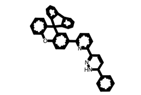 C1=CC(c2ccccc2)NN=C1c1cccc(-c2ccc3c(c2)C2(c4ccccc4O3)c3ccccc3-c3ccccc32)n1